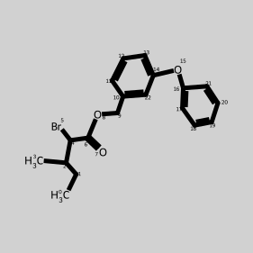 CCC(C)C(Br)C(=O)OCc1cccc(Oc2ccccc2)c1